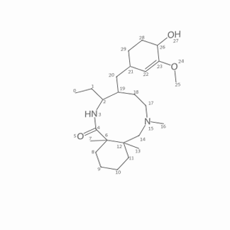 CCC1NC(=O)C2(C)CCCCC2(C)CN(C)CCC1CC1C=C(OC)C(O)CC1